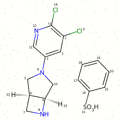 Clc1cc(N2C[C@@H]3CN[C@@H]3C2)cnc1Cl.O=S(=O)(O)c1ccccc1